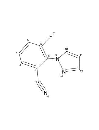 N#Cc1cccc(F)c1-n1cccn1